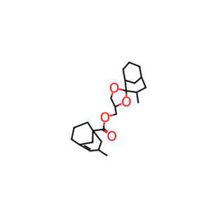 CC1C=C2CCCC(C(=O)OCC3COC4(O3)C(C)CC3CCCC4C3)(C2)C1